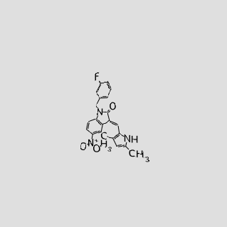 Cc1cc(C)c(C=C2C(=O)N(Cc3cccc(F)c3)c3ccc([N+](=O)[O-])cc32)[nH]1